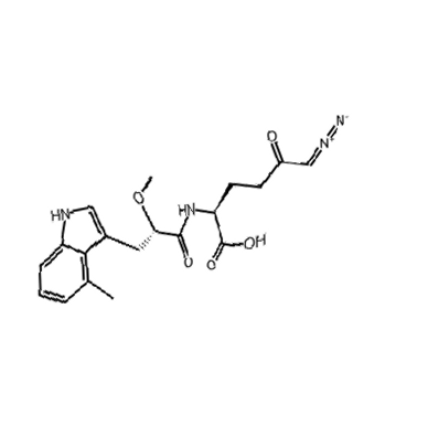 CO[C@@H](Cc1c[nH]c2cccc(C)c12)C(=O)N[C@@H](CCC(=O)C=[N+]=[N-])C(=O)O